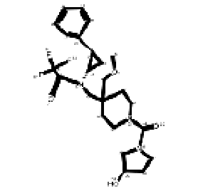 COCC1(CN(C(=O)C(F)(F)F)[C@H]2C[C@@H]2c2ccccc2)CCN(C(=O)N2CC[C@@H](O)C2)CC1